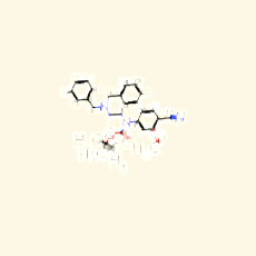 COc1cc(N(CCN(Cc2ccccc2)Cc2ccccc2)C(=O)OC(C)(C)C)ccc1C#N